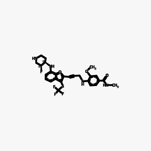 CNC(=O)c1ccc(NCC#Cc2oc3c(N[C@@H]4CCNC[C@@H]4F)cccc3c2SC(F)(F)F)c(OC)c1